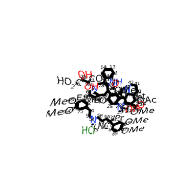 CCC1=C[C@@H]2C[N@](C1)Cc1c([nH]c3ccccc13)[C@@](C(=O)OC)(c1cc3c(cc1OC)N(C)[C@H]1[C@@](O)(C(=O)OC)[C@H](OC(C)=O)[C@]4(CC)C=CCN5CC[C@]31[C@@H]54)C2.COc1ccc(CCN(C)CCCC(C#N)(c2ccc(OC)c(OC)c2)C(C)C)cc1OC.Cl.O=C(O)C(O)C(O)C(=O)O